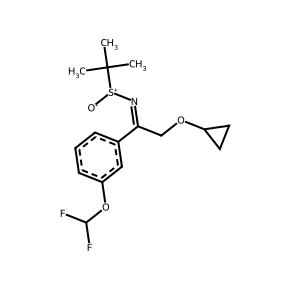 CC(C)(C)[S+]([O-])/N=C(/COC1CC1)c1cccc(OC(F)F)c1